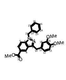 COC(=O)c1ccc2c(c1)c(Cc1ccc(OC)c(OC)c1)nn2Cc1ccccc1